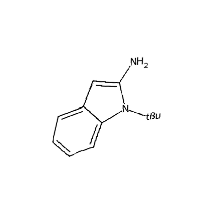 CC(C)(C)n1c(N)cc2ccccc21